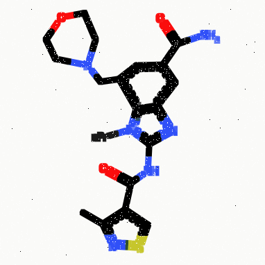 CCCn1c(NC(=O)c2csnc2C)nc2cc(C(N)=O)cc(CN3CCOCC3)c21